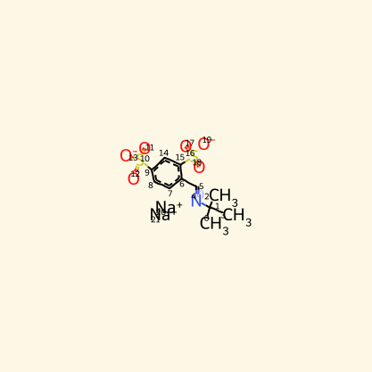 CC(C)(C)/N=C/c1ccc(S(=O)(=O)[O-])cc1S(=O)(=O)[O-].[Na+].[Na+]